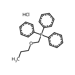 CCCOC[P](c1ccccc1)(c1ccccc1)c1ccccc1.Cl